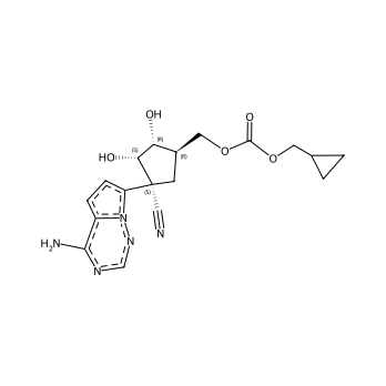 N#C[C@@]1(c2ccc3c(N)ncnn23)C[C@H](COC(=O)OCC2CC2)[C@@H](O)[C@H]1O